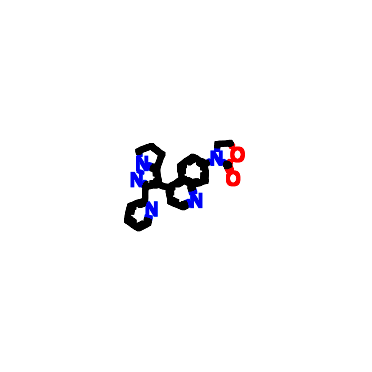 O=C1OCCN1c1ccc2c(-c3c(-c4ccccn4)nn4c3CCC4)ccnc2c1